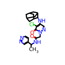 CC(NC(=O)Cn1ncc(NC2C3CC4CC(C3)CC2C4)c(Cl)c1=O)c1ccnnc1